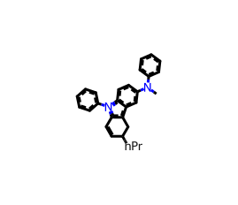 CCCC1C=Cc2c(c3cc(N(C)c4ccccc4)ccc3n2-c2ccccc2)C1